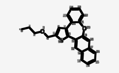 [CH2]CCOCc1cc2c(s1)-c1cc3ccccc3cc1Oc1ccccc1-2